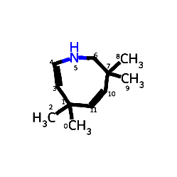 CC1(C)/C=C\NCC(C)(C)/C=C\1